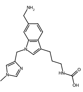 Cn1cnc(Cn2cc(CCCNC(=O)O)c3ccc(CN)cc32)c1